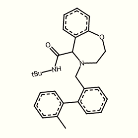 Cc1ccccc1-c1ccccc1CN1CCOc2ccccc2C1C(=O)NC(C)(C)C